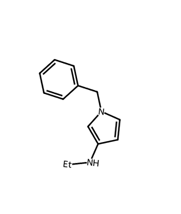 CCNc1ccn(Cc2ccccc2)c1